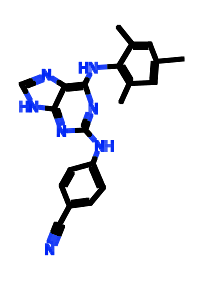 Cc1cc(C)c(Nc2nc(Nc3ccc(C#N)cc3)nc3[nH]cnc23)c(C)c1